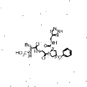 CC[C@H](C)[C@H](NC(=O)O)C(=O)NCC(=O)N1C[C@@H](Oc2ccccc2)C[C@H]1C(=O)NCc1nn[nH]n1